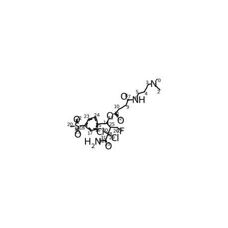 CN(C)CCCNC(=O)CCC(=O)OC(c1ccc(S(C)(=O)=O)cc1)C(CF)C(Cl)(Cl)C(N)=O